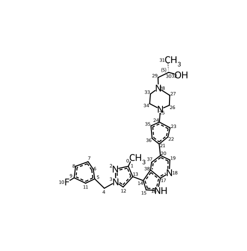 Cc1nn(Cc2cccc(F)c2)cc1-c1c[nH]c2ncc(-c3ccc(N4CCN(C[C@H](C)O)CC4)cc3)cc12